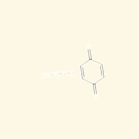 Cl.Cl.Cl.Cl.O=C1C=CC(=O)C=C1